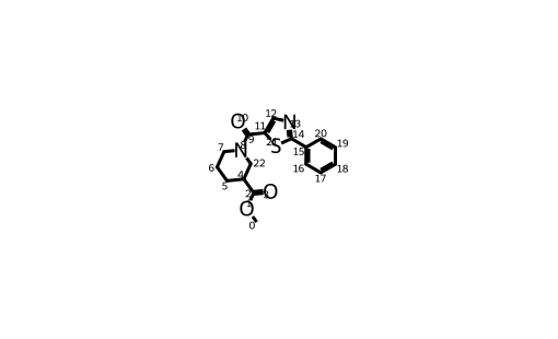 COC(=O)C1CCCN(C(=O)c2cnc(-c3ccccc3)s2)C1